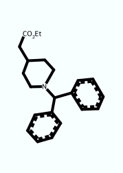 CCOC(=O)CC1CCN(C(c2ccccc2)c2ccccc2)CC1